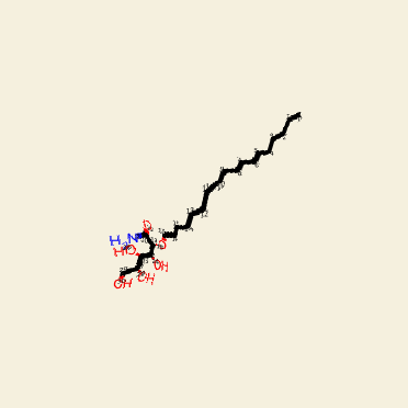 CCCCCCCCCCCCCCCC/C=C/O[C@@H](C(N)=O)[C@@H](O)[C@H](O)[C@H](O)CO